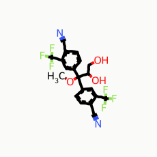 COC(c1ccc(C#N)c(C(F)(F)F)c1)(c1ccc(C#N)c(C(F)(F)F)c1)C(O)CO